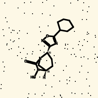 O=C1N(O)[C@@H]2CC[C@@H](c3noc(C4CCCCC4)n3)N1C2